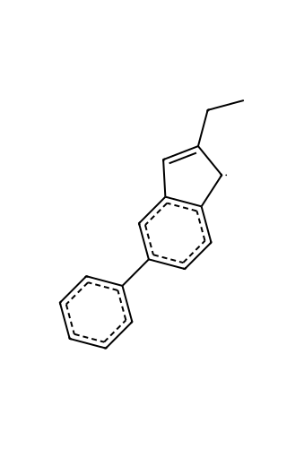 CCC1=Cc2cc(-c3ccccc3)ccc2[CH]1